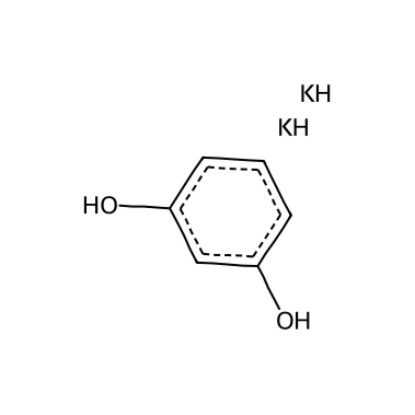 Oc1cccc(O)c1.[KH].[KH]